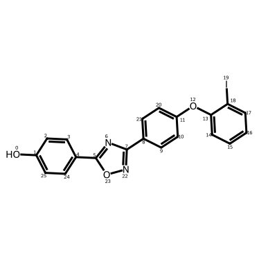 Oc1ccc(-c2nc(-c3ccc(Oc4ccccc4I)cc3)no2)cc1